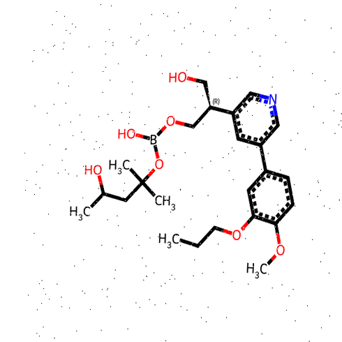 CCCOc1cc(-c2cncc([C@H](CO)COB(O)OC(C)(C)CC(C)O)c2)ccc1OC